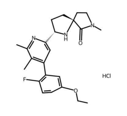 CCOc1ccc(F)c(-c2cc([C@@H]3CC[C@]4(CCN(C)C4=O)N3)nc(C)c2C)c1.Cl